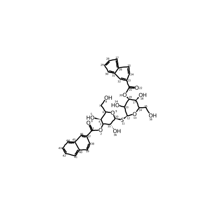 O=C(OC1[C@@H](O)C(CO)O[C@@H](S[C@@H]2OC(CO)[C@H](O)[C@H](OC(=O)c3ccc4ccccc4c3)C2O)[C@@H]1O)c1ccc2ccccc2c1